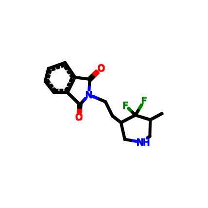 CC1CNCC(CCN2C(=O)c3ccccc3C2=O)C1(F)F